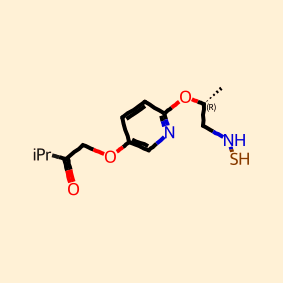 CC(C)C(=O)COc1ccc(O[C@H](C)CNS)nc1